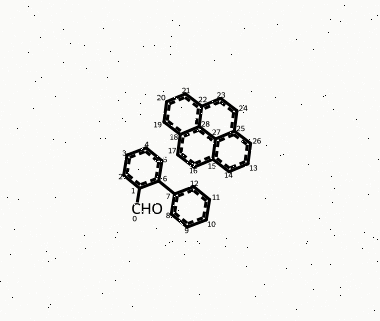 O=Cc1ccccc1-c1ccccc1.c1cc2ccc3cccc4ccc(c1)c2c34